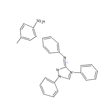 Cc1ccc(S(=O)(=O)O)cc1.c1ccc(/N=c2\[n-]n(-c3ccccc3)c[n+]2-c2ccccc2)cc1